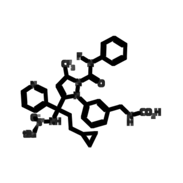 CC(C)(C)[S@@+]([O-])NC(CCC1CC1)(C1=CC(C(F)(F)F)N(C(=O)N(F)c2ccccc2)N1c1cccc(CNC(=O)O)c1)c1cccnc1